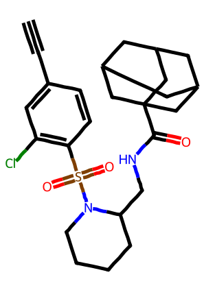 C#Cc1ccc(S(=O)(=O)N2CCCCC2CNC(=O)C23CC4CC(CC(C4)C2)C3)c(Cl)c1